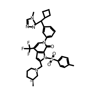 Cc1ccc(S(=O)(=O)n2c(CN3CCC[C@H](C)C3)cc3c(C(F)(F)F)cn(-c4cccc(C(c5nncn5C)C5CCC5)c4)c(=O)c32)cc1